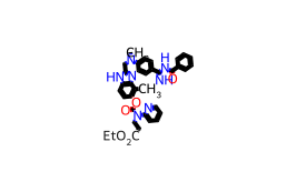 CCOC(=O)CCN(C(=O)Oc1ccc2[nH]c(CN(C)c3ccc(C(=N)NC(=O)c4ccccc4)cc3)nc2c1C)c1ccccn1